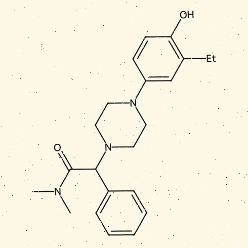 CCc1cc(N2CCN(C(C(=O)N(C)C)c3ccccc3)CC2)ccc1O